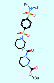 CCN(CC)S(=O)(=O)c1ccc(S(=O)(=O)N2CCC[C@@H](C(=O)N3CCCN(C(=O)OC(C)(C)C)C3)C2)cc1